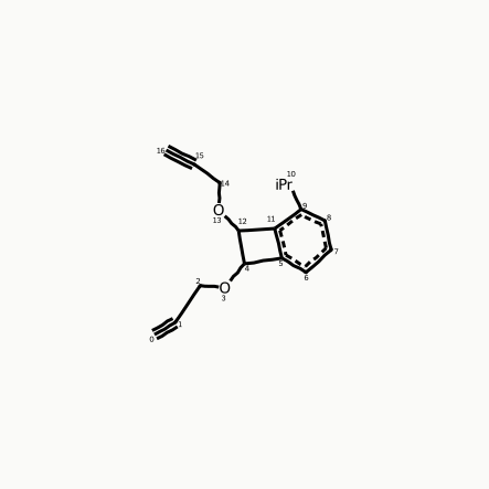 C#CCOC1c2cccc(C(C)C)c2C1OCC#C